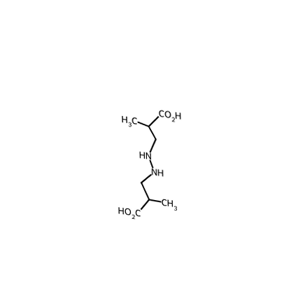 CC(CNNCC(C)C(=O)O)C(=O)O